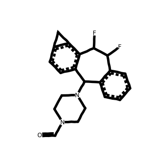 O=CN1CCN(C2c3ccccc3C(F)C(F)c3c2ccc2c3C2)CC1